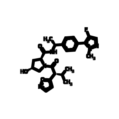 CC(C)[C@@H](C(=O)N1C[C@H](O)C[C@H]1C(=O)N[C@@H](C)c1ccc(-c2c(F)cnn2C)cc1)c1ccno1